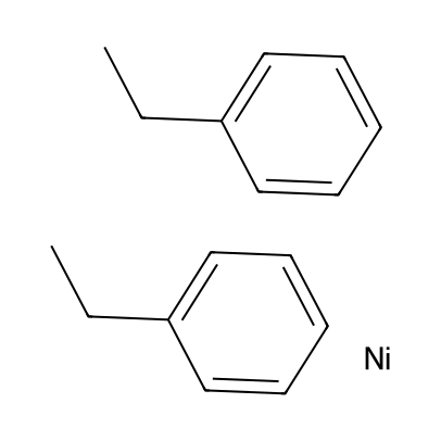 CCc1ccccc1.CCc1ccccc1.[Ni]